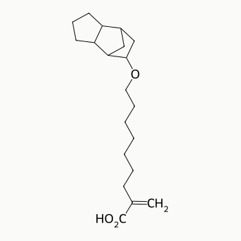 C=C(CCCCCCCOC1CC2CC1C1CCCC21)C(=O)O